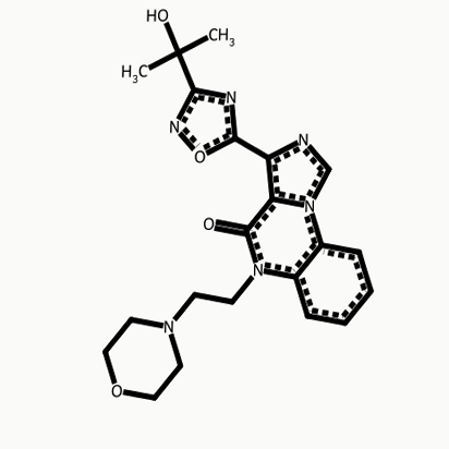 CC(C)(O)c1noc(-c2ncn3c2c(=O)n(CCN2CCOCC2)c2ccccc23)n1